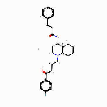 Cl.O=C(CCc1ccccc1)N[C@H]1CCN(CCCC(=O)c2ccc(F)cc2)C2CCCC[C@H]21